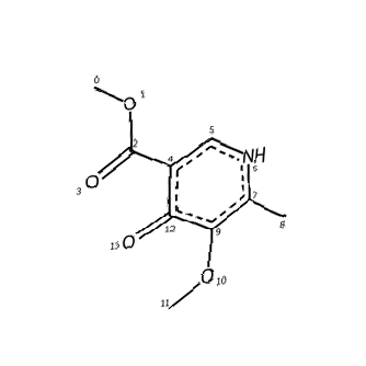 COC(=O)c1c[nH]c(C)c(OC)c1=O